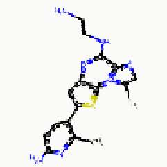 Cc1nc(N)ccc1-c1cc2nc(NCCN)c3ncc(C)n3c2s1